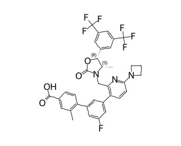 Cc1cc(C(=O)O)ccc1-c1cc(F)cc(-c2ccc(N3CCC3)nc2CN2C(=O)O[C@H](c3cc(C(F)(F)F)cc(C(F)(F)F)c3)[C@@H]2C)c1